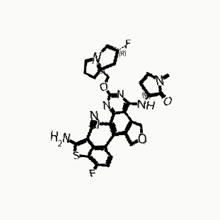 CN1CC[C@@H](Nc2nc(OC[C@@]34CCCN3C[C@H](F)C4)nc3c(Cl)c(-c4ccc(F)c5sc(N)c(C#N)c45)c4c(c23)COC4)C1=O